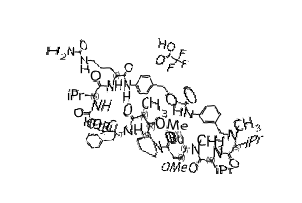 CC[C@H](C)[C@@H]([C@@H](CC(=O)N1CCC[C@H]1[C@H](OC)[C@@H](C)C(=O)N[C@@H](Cc1ccccc1)C(=O)O)OC)N(C)C(=O)[C@@H](NC(=O)[C@H](C(C)C)N(C)Cc1cccc(NC(=O)OCc2ccc(NC(=O)[C@H](CCCNC(N)=O)NC(=O)[C@@H](NC(=O)OC(C)(C)C)C(C)C)cc2)c1)C(C)C.O=C(O)C(F)(F)F